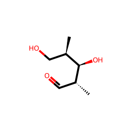 C[C@H](C=O)[C@H](O)[C@H](C)CO